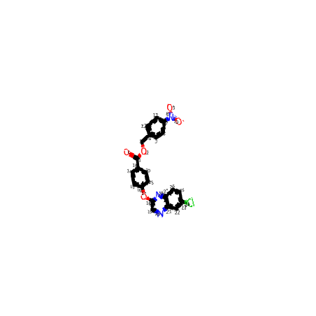 O=C(OCc1ccc([N+](=O)[O-])cc1)c1ccc(Oc2cnc3cc(Cl)ccc3n2)cc1